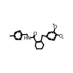 COc1ccc(CC2=C(C(=O)NCc3ccc(C)cc3)CCCC2)cc1OC